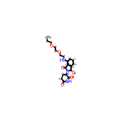 CC(C)CCOCCOCCNc1cccc2c1C(=O)N(C1CCC(=O)NC1=O)C2=O